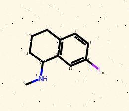 CNC1CCCc2ccc(I)cc21